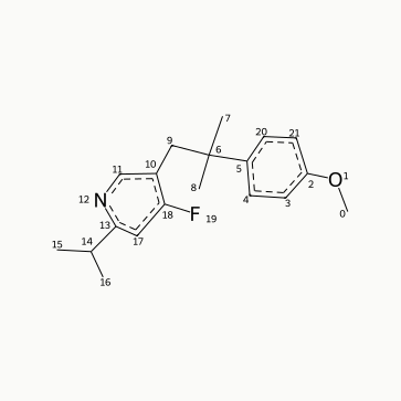 COc1ccc(C(C)(C)Cc2cnc(C(C)C)cc2F)cc1